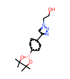 CC1(C)OB(c2ccc(-c3cn(CCO)nn3)cc2)OC1(C)C